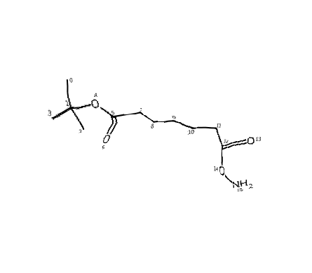 CC(C)(C)OC(=O)CCCCCC(=O)ON